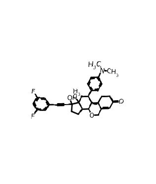 CN(C)c1ccc(C2CC3(C)C(CCC3(O)C#Cc3cc(F)cc(F)c3)C3OCC4=CC(=O)CCC4=C23)cc1